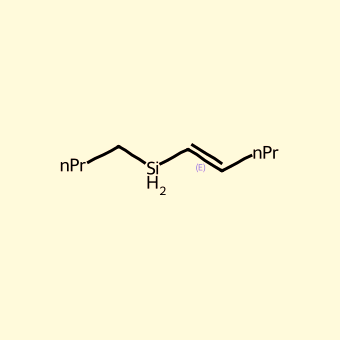 CCC/C=C/[SiH2]CCCC